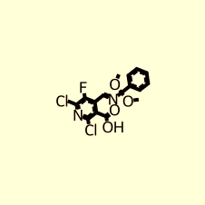 COC(N=Cc1c(F)c(Cl)nc(Cl)c1C(=O)O)(OC)c1ccccc1